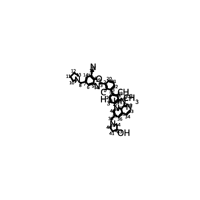 Cc1c(-c2nc3cc(CN4CCCC4)cc(C#N)c3o2)cccc1-c1cccc(N(C)C2=NC=CC3=CC(CN4CCC(O)C4)=CNC32)c1C